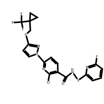 O=C(NSc1cccc(F)n1)c1ccc(-n2ccc(OCC3(C(F)(F)F)CC3)n2)nc1Cl